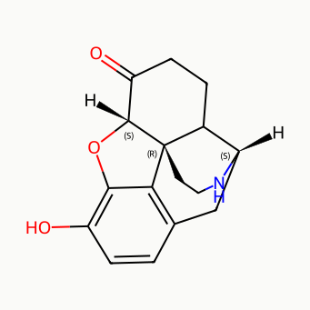 O=C1CCC2[C@@H]3Cc4ccc(O)c5c4[C@]2(CCN3)[C@@H]1O5